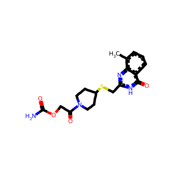 Cc1cccc2c(=O)[nH]c(CSC3CCN(C(=O)COC(N)=O)CC3)nc12